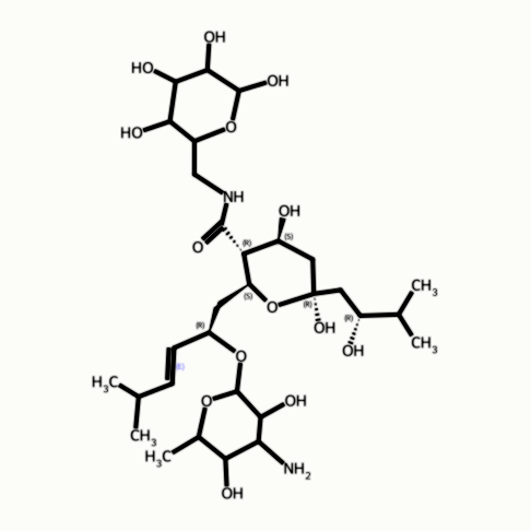 CC(C)/C=C/[C@@H](C[C@@H]1O[C@](O)(C[C@@H](O)C(C)C)C[C@H](O)[C@H]1C(=O)NCC1OC(O)C(O)C(O)C1O)OC1OC(C)C(O)C(N)C1O